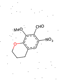 COc1c(C=O)c([N+](=O)[O-])cc2c1OCCC2